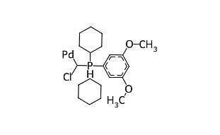 COc1cc(OC)cc([PH]([CH](Cl)[Pd])(C2CCCCC2)C2CCCCC2)c1